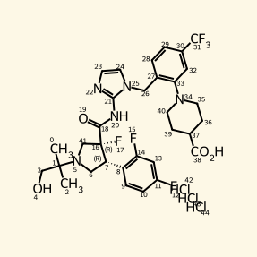 CC(C)(CO)N1C[C@@H](c2ccc(F)cc2F)[C@](F)(C(=O)Nc2nccn2Cc2ccc(C(F)(F)F)cc2N2CCC(C(=O)O)CC2)C1.Cl.Cl.Cl